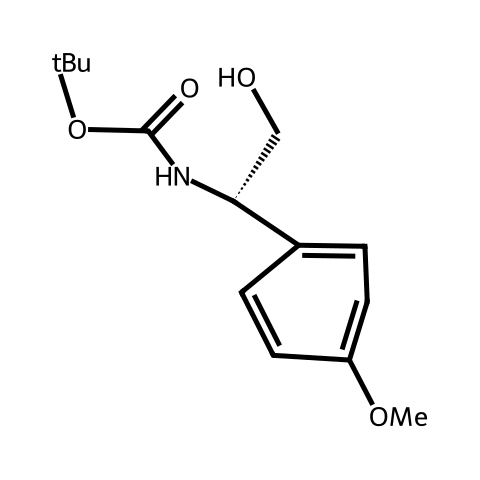 COc1ccc([C@@H](CO)NC(=O)OC(C)(C)C)cc1